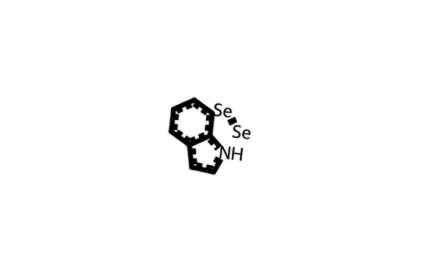 [Se]=[Se].c1ccc2[nH]ccc2c1